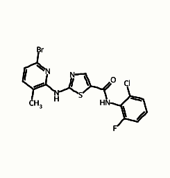 Cc1ccc(Br)nc1Nc1ncc(C(=O)Nc2c(F)cccc2Cl)s1